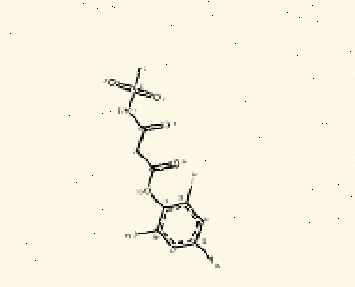 CS(=O)(=O)NC(=O)CC(=O)Oc1c(I)cc(I)cc1I